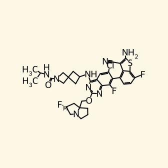 CC(C)NC(=O)N1CC2(CC(Nc3nc(OCC45CCCN4C[C@H](F)C5)nc4c(F)c(-c5ccc(F)c6sc(N)c(C#N)c56)c(Cl)cc34)C2)C1